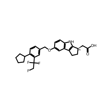 O=C(O)C[C@H]1CCc2c1[nH]c1ccc(OCc3ccc(C4CCCC4)c(C(F)(F)CF)c3)cc21